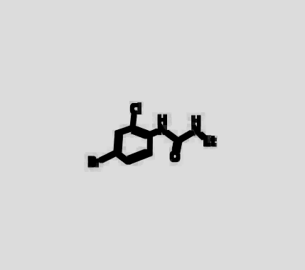 CCNC(=O)Nc1ccc(Br)cc1Cl